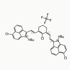 CCCCn1/c(=C\C=C2\CCCC(/C=C/C3=[N+](CCCC)c4ccc(Cl)c5cccc3c45)=C2Cl)c2cccc3c(Cl)ccc1c32.F[B-](F)(F)F